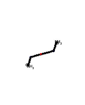 NC(=O)CCCCCCC/C=C\CCCCCCCCCCCCCCCCCCCCCC/C=C\CCCCCCCC(N)=O